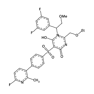 CCOCc1nc(=O)c(S(=O)(=O)c2ccc(-c3ccc(F)nc3C)cc2)c(O)n1C(COC)c1cc(F)cc(F)c1